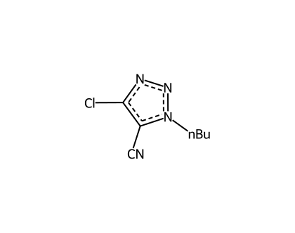 CCCCn1nnc(Cl)c1C#N